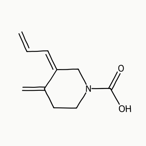 C=C/C=C1/CN(C(=O)O)CCC1=C